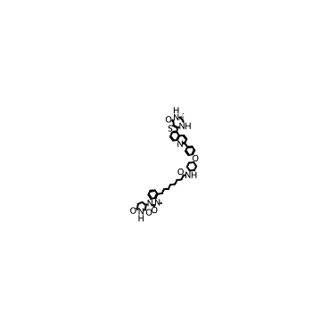 C[C@@H]1CNc2c(sc3ccc4nc(-c5ccc(OC6CCC(NC(=O)CCCCCCCc7cccc8c7n(C)c(=O)n8C7CCC(=O)NC7=O)CC6)cc5)ccc4c23)C(=O)N1